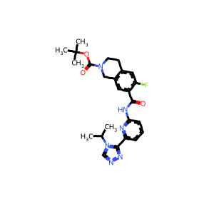 CC(C)n1cnnc1-c1cccc(NC(=O)c2cc3c(cc2F)CCN(C(=O)OC(C)(C)C)C3)n1